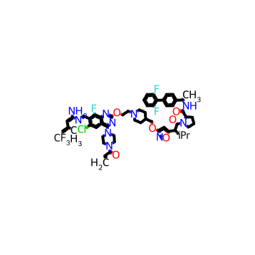 C=CC(=O)N1CCN(c2nc(OCCN3CCC(COc4cc(C(C(=O)N5CCCC5C(=O)NC(C)c5ccc(-c6c(F)cccc6F)cc5)C(C)C)on4)CC3)nc3c(F)c(/C=N/C(N)=C\C(C)=C\C(F)(F)F)c(Cl)cc23)CC1